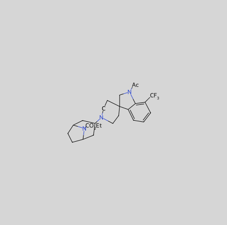 CCOC(=O)N1C2CCC1CC(N1CCC3(CC1)CN(C(C)=O)c1c(C(F)(F)F)cccc13)C2